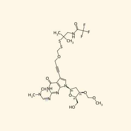 COCO[C@@H]1C[C@H](n2cc(C#CCOCSSC(C)(C)CNC(=O)C(F)(F)F)c3c(=O)[nH]c(/N=C\N(C)C)nc32)O[C@@H]1CO